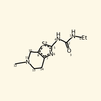 CCNC(=O)Nc1nc2c(s1)CN(C)CC2